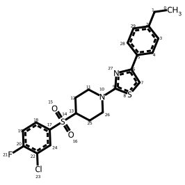 CCc1ccc(-c2csc(N3CCC(S(=O)(=O)c4ccc(F)c(Cl)c4)CC3)n2)cc1